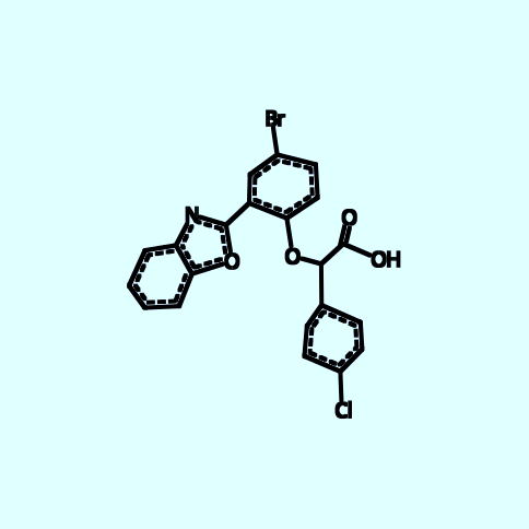 O=C(O)C(Oc1ccc(Br)cc1-c1nc2ccccc2o1)c1ccc(Cl)cc1